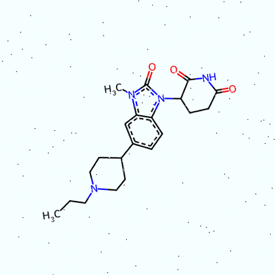 CCCN1CCC(c2ccc3c(c2)n(C)c(=O)n3C2CCC(=O)NC2=O)CC1